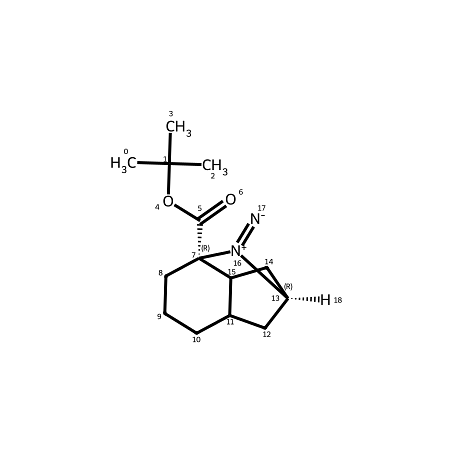 CC(C)(C)OC(=O)[C@@]12CCCC3C[C@H](CC31)[N+]2=[N-]